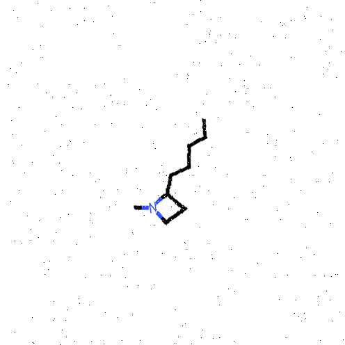 CCCCCC1CCN1C